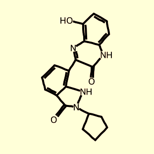 O=c1[nH]c2cccc(O)c2nc1-c1cccc2c(=O)n(C3CCCC3)[nH]c12